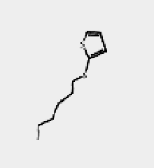 CCCCCCSc1cccs1